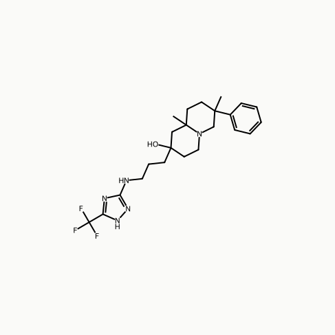 CC1(c2ccccc2)CCC2(C)CC(O)(CCCNc3n[nH]c(C(F)(F)F)n3)CCN2C1